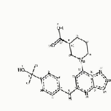 CC(C)(O)c1ccc(Nc2cc(N3CCC[C@H](C(=O)O)C3)n3nccc3n2)cc1